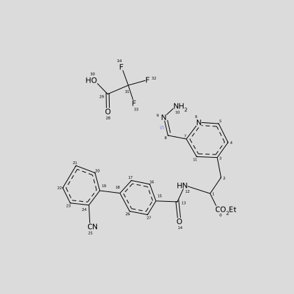 CCOC(=O)C(Cc1ccnc(/C=N\N)c1)NC(=O)c1ccc(-c2ccccc2C#N)cc1.O=C(O)C(F)(F)F